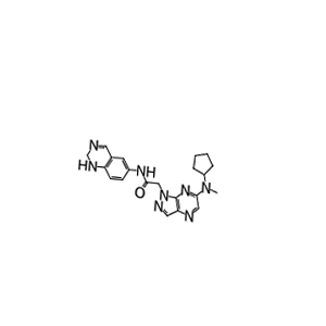 CN(c1cnc2cnn(CC(=O)Nc3ccc4c(c3)C=NCN4)c2n1)C1CCCC1